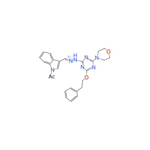 CC(=O)n1cc(/C=N/Nc2nc(OCCc3ccccc3)nc(N3CCOCC3)n2)c2ccccc21